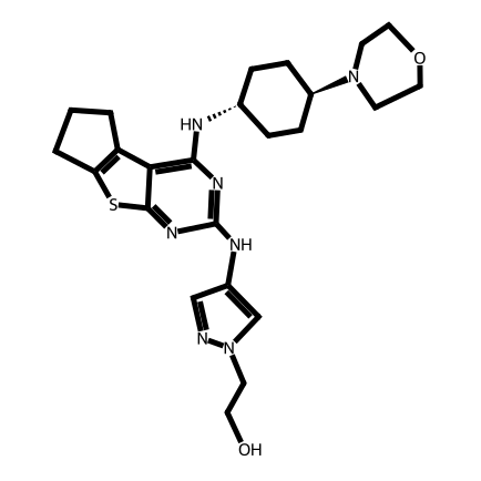 OCCn1cc(Nc2nc(N[C@H]3CC[C@H](N4CCOCC4)CC3)c3c4c(sc3n2)CCC4)cn1